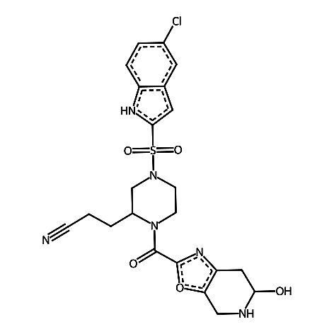 N#CCCC1CN(S(=O)(=O)c2cc3cc(Cl)ccc3[nH]2)CCN1C(=O)c1nc2c(o1)CNC(O)C2